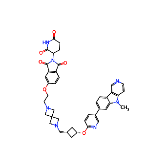 Cn1c2ccncc2c2ccc(-c3ccc(O[C@H]4C[C@H](CN5CC6(CN(CCOc7ccc8c(c7)C(=O)N(C7CCC(=O)NC7=O)C8=O)C6)C5)C4)nc3)cc21